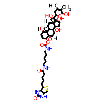 CC1=C(C)C(O)OC(C(C)(O)[C@]2(O)CC[C@@]3(O)C4C[C@H]5O[C@]56[C@@H](OC(=O)NCCCCCNC(=O)CCCCC5SCC7NC(=O)NC75)C=CC(=O)[C@]6(C)C4CC[C@@]32C)C1